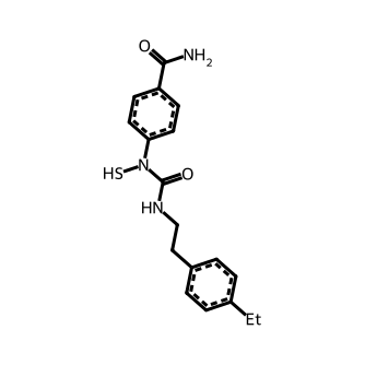 CCc1ccc(CCNC(=O)N(S)c2ccc(C(N)=O)cc2)cc1